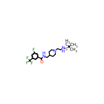 CC(C)(C)SNCCN1CCC(CNC(=O)c2cc(F)cc(C(F)(F)F)c2)CC1